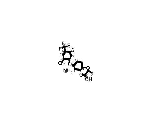 CC(Oc1ccc(Oc2cc(Cl)c(C(F)(F)F)cc2Cl)cc1)C(=O)O.N